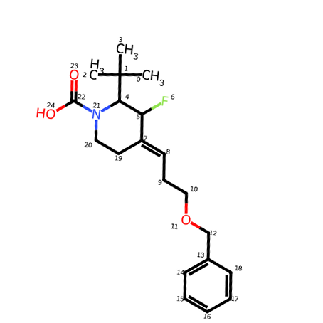 CC(C)(C)C1C(F)C(=CCCOCc2ccccc2)CCN1C(=O)O